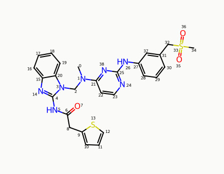 CN(Cn1c(NC(=O)Cc2cccs2)nc2ccccc21)c1ccnc(Nc2cccc(CS(C)(=O)=O)c2)n1